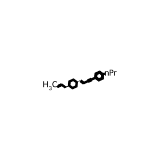 C/C=C/C[C@H]1CC[C@H](/C=C/C#Cc2ccc(CCC)cc2)CC1